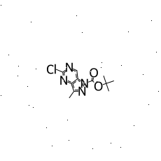 Cc1nn(C(=O)OC(C)(C)C)c2cnc(Cl)nc12